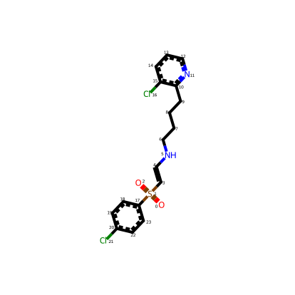 O=S(=O)(C=CNCCCCc1ncccc1Cl)c1ccc(Cl)cc1